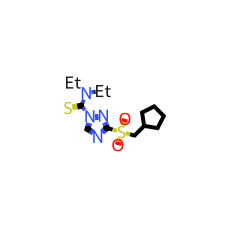 CCN(CC)C(=S)n1cnc(S(=O)(=O)CC2CCCC2)n1